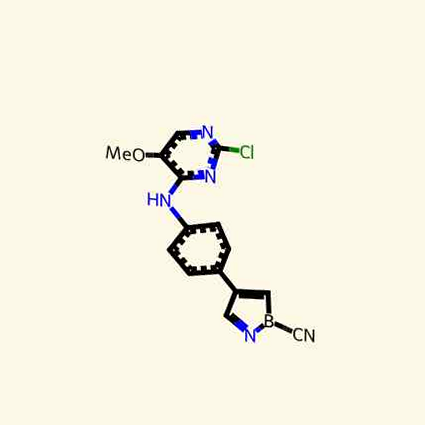 COc1cnc(Cl)nc1Nc1ccc(C2=CB(C#N)N=C2)cc1